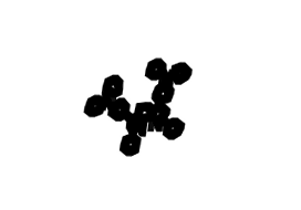 c1ccc(-c2cc(-c3ccc(N(c4ccccc4)c4ccccc4)cc3)c3ccc4c(-c5ccc(N(c6ccccc6)c6ccccc6)cc5)cc(-c5ccccc5)nc4c3n2)cc1